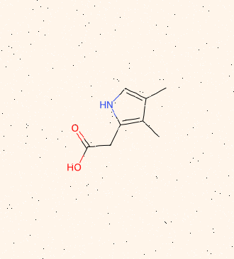 Cc1c[nH]c(CC(=O)O)c1C